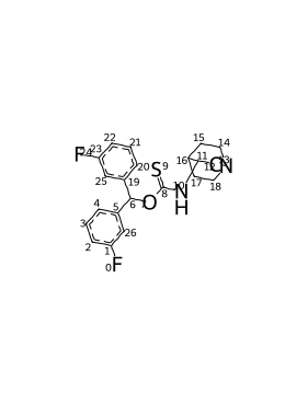 Fc1cccc(C(OC(=S)NC2CN3CCC2CC3)c2cccc(F)c2)c1